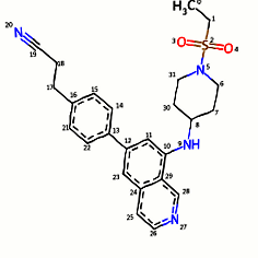 CCS(=O)(=O)N1CCC(Nc2cc(-c3ccc(CCC#N)cc3)cc3ccncc23)CC1